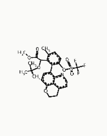 COC(=O)C(OC(C)(C)C)c1c(C)ccc(OS(=O)(=O)C(F)(F)F)c1-c1ccc2c3c(ccnc13)CCO2